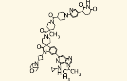 CC(C)n1cnc2cc(-c3ccc4c(c3)N([C@H]3C[C@@H](N5C6COCC5C6)C3)C(=O)C43CCN(C(=O)C4(C)CCN(C(=O)C5CCN(c6ccc(C7CCC(=O)NC7=O)cn6)CC5)CC4)CC3)nc(NC3CC3)c21